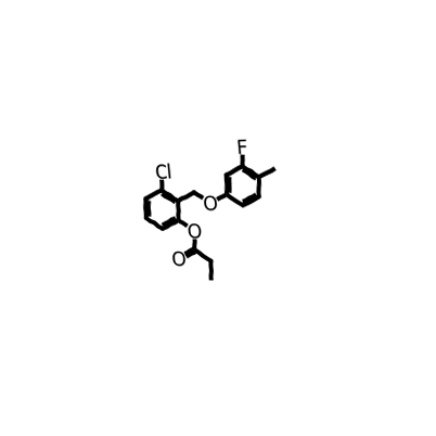 CCC(=O)Oc1cccc(Cl)c1COc1ccc(C)c(F)c1